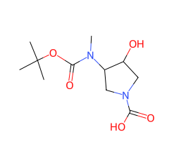 CN(C(=O)OC(C)(C)C)C1CN(C(=O)O)CC1O